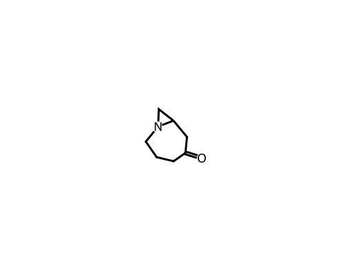 O=C1CCCN2CC2C1